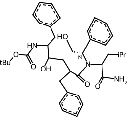 CC(C)CC(C(N)=O)N(C(=O)C(Cc1ccccc1)CC(O)C(Cc1ccccc1)NC(=O)OC(C)(C)C)[C@H](CO)c1ccccc1